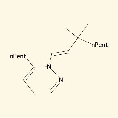 C=NN(/C=C/C(C)(C)CCCCC)/C(=C\C)CCCCC